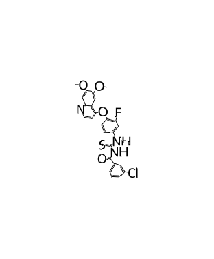 COc1cc2nccc(Oc3ccc(NC(=S)NC(=O)c4cccc(Cl)c4)cc3F)c2cc1OC